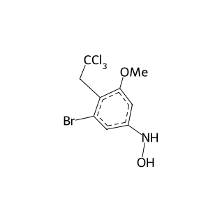 COc1cc(NO)cc(Br)c1CC(Cl)(Cl)Cl